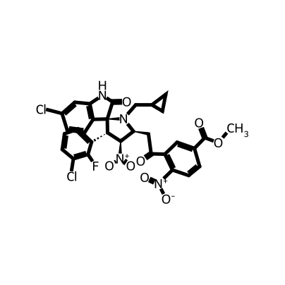 COC(=O)c1ccc([N+](=O)[O-])c(C(=O)C[C@H]2[C@@H]([N+](=O)[O-])[C@H](c3cccc(Cl)c3F)[C@]3(C(=O)Nc4cc(Cl)ccc43)N2CC2CC2)c1